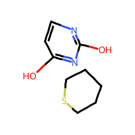 C1CCSCC1.Oc1ccnc(O)n1